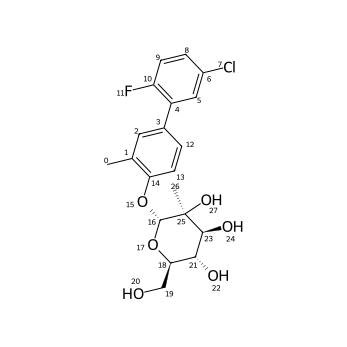 Cc1cc(-c2cc(Cl)ccc2F)ccc1O[C@H]1O[C@H](CO)[C@@H](O)[C@H](O)[C@]1(C)O